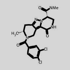 CNC(=O)[C@@H]1CNC(=O)c2c3c(nn21)C[C@@H](C)N(C(=O)c1ccc(Cl)c(Cl)c1)C3